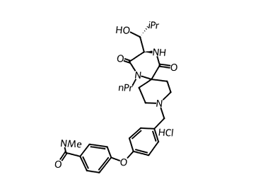 CCCN1C(=O)[C@@H]([C@H](O)C(C)C)NC(=O)C12CCN(Cc1ccc(Oc3ccc(C(=O)NC)cc3)cc1)CC2.Cl